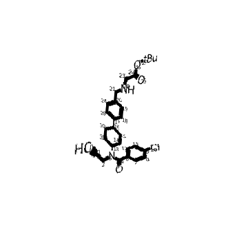 C#CCN(C(=O)c1ccc(Cl)cc1)[C@H]1CC[C@H](c2ccc(CNCC(=O)OC(C)(C)C)cc2)CC1